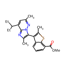 CCC(CC)c1cc(C)nn2c(-c3c(C)sc4c(C(=O)OC)cccc34)c(C)nc12